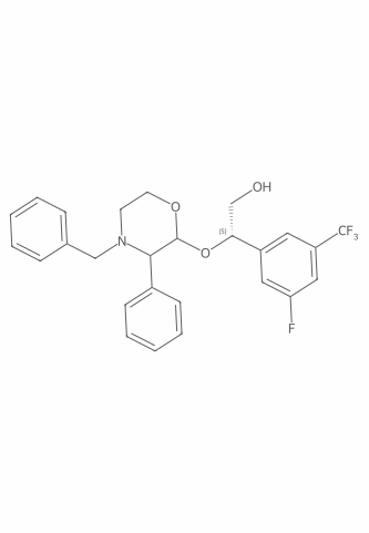 OC[C@@H](OC1OCCN(Cc2ccccc2)C1c1ccccc1)c1cc(F)cc(C(F)(F)F)c1